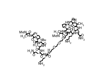 CC[C@H](C)C(NC(=O)[C@@H]1CCCN1C(=O)[C@@H](NC(=O)[C@H](C)NC)C(C)C)C(=O)N[C@@H](C)C(=O)N[C@@H](CCC(N)=O)C(=O)N[C@@H](CCCCN)C(=O)NCCCOCCOCCOCCCNC(=O)[C@H](CCCCN)NC(=O)[C@H](CCC(N)=O)NC(=O)[C@H](C)NC(=O)[C@@H](NC(=O)[C@@H]1CCCN1C(=O)C(NC(=O)[C@H](C)NC)C(C)C)[C@@H](C)CC